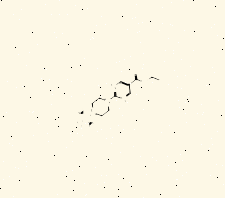 CCOC(=O)c1cnc(N2CCN(S(N)(=O)=O)CC2)nc1